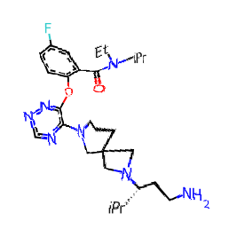 CCN(C(=O)c1cc(F)ccc1Oc1nncnc1N1CCC2(C1)CN([C@H](CCN)C(C)C)C2)C(C)C